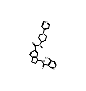 CN(C(=O)c1ccc2c(c1)C(NC(=O)c1cnccc1C(F)(F)F)CC2)C1CCN(c2ccncc2)CC1